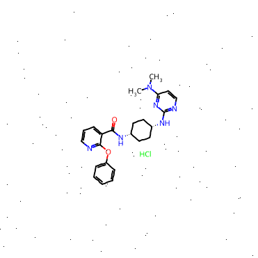 CN(C)c1ccnc(N[C@H]2CC[C@@H](NC(=O)c3cccnc3Oc3ccccc3)CC2)n1.Cl